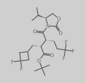 CC(C)[C@H]1COC(=O)N1C(=O)[C@H](CCC(F)(F)F)[C@@H](CC1CC(F)(F)C1)C(=O)OC(C)(C)C